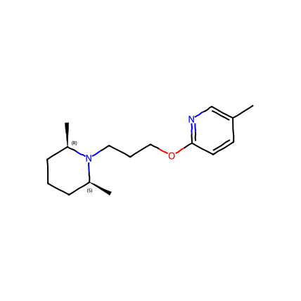 Cc1ccc(OCCCN2[C@H](C)CCC[C@@H]2C)nc1